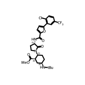 COC(=O)[C@@H]1C[C@H](NC(C)(C)C)CC[C@@H]1N1CC[C@H](NC(=O)c2ccc(-c3cc(C(F)(F)F)ccc3Cl)o2)C1=O